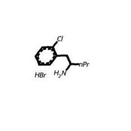 Br.CCCC(N)Cc1ccccc1Cl